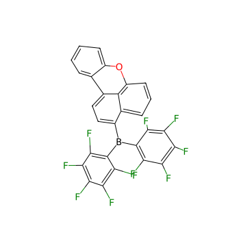 Fc1c(F)c(F)c(B(c2c(F)c(F)c(F)c(F)c2F)c2ccc3c4c(cccc24)Oc2ccccc2-3)c(F)c1F